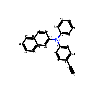 C#Cc1ccc(N(c2ccccc2)c2ccc3ccccc3c2)cc1